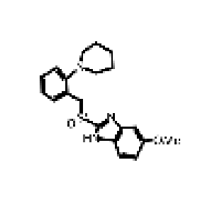 COc1ccc2[nH]c([S+]([O-])Cc3ccccc3N3CCCCC3)nc2c1